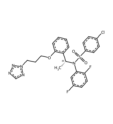 C[C@H](c1ccccc1OCCCn1ncnn1)N(c1cc(F)ccc1F)S(=O)(=O)c1ccc(Cl)cc1